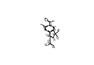 CC(=O)c1cc2c(cc1C)C(C)(C(C)C)CC2(C)C